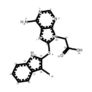 Nc1ncnc2c1nc(Sc1[nH]c3ccccc3c1I)n2CC(=O)O